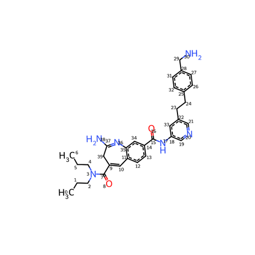 CCCN(CCC)C(=O)C1=Cc2ccc(C(=O)Nc3cncc(CCc4ccc(CN)cc4)c3)cc2N=C(N)C1